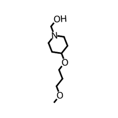 COCCCOC1CCN(CO)CC1